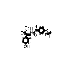 NC(=O)c1c(NC(=O)Nc2ccc(SC(F)(F)F)cc2)sc2c1CCC(O)C2